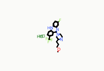 COCCCC1CN(C2=Nc3cc(F)ccc3Nc3ccc(C(F)(F)F)cc32)CCN1C.Cl.Cl